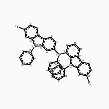 Fc1ccc2c3ccc(N(c4ccccc4)c4cccc5c6ccc(F)cc6n(-c6ccccc6)c45)cc3n(-c3ccccc3)c2c1